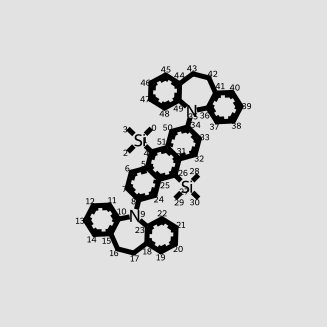 C[Si](C)(C)c1c2ccc(N3c4ccccc4CCc4ccccc43)cc2c([Si](C)(C)C)c2ccc(N3c4ccccc4CCc4ccccc43)cc12